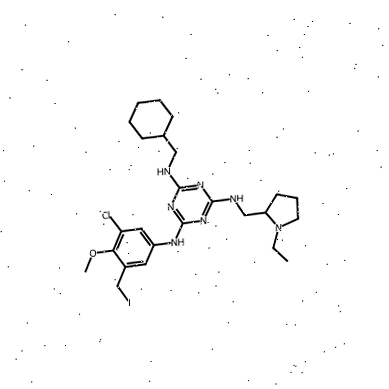 CCN1CCCC1CNc1nc(NCC2CCCCC2)nc(Nc2cc(Cl)c(OC)c(CI)c2)n1